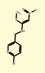 CSC(=C[N+](=O)[O-])NCc1ccc(Br)nc1